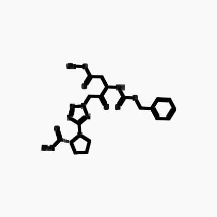 CNC(=O)[C@H]1CCCN1c1nnn(CC(=O)C(CC(=O)OC(C)(C)C)NC(=O)OCc2ccccc2)n1